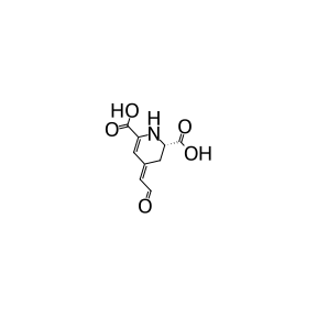 O=C/C=C1/C=C(C(=O)O)N[C@H](C(=O)O)C1